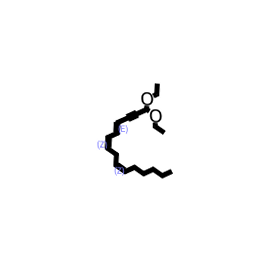 CCCCC/C=C\C/C=C\C=C\C#CC(OCC)OCC